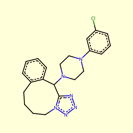 Clc1cccc(N2CCN(C3c4ccccc4CCCCn4nnnc43)CC2)c1